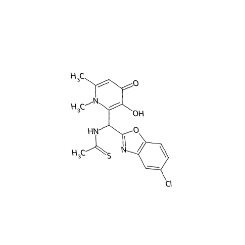 CC(=S)NC(c1nc2cc(Cl)ccc2o1)c1c(O)c(=O)cc(C)n1C